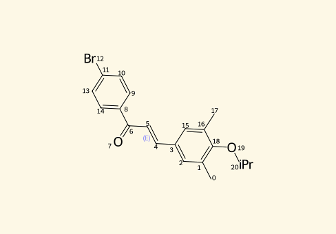 Cc1cc(/C=C/C(=O)c2ccc(Br)cc2)cc(C)c1OC(C)C